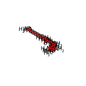 CCn1nc(C)cc1C(=O)Nc1nc2cc(C(N)=O)cc(OC)c2n1C/C=C/Cn1c(NC(=O)c2cc(C)nn2CC)nc2cc(C(N)=O)cc(OCCCOC(=O)[C@H](C)NC(=O)CCOCCOCCNC(=O)CC[C@H](NC(=O)CN3C(=O)C=CC3=O)C(=O)NCC(=O)NCC(=O)NCC(=O)NCC(=O)NCCOCCOCCOCCOCCOCCOCCOCCOCCC(=O)N[C@@H](CCCCN)C(=O)O)c21